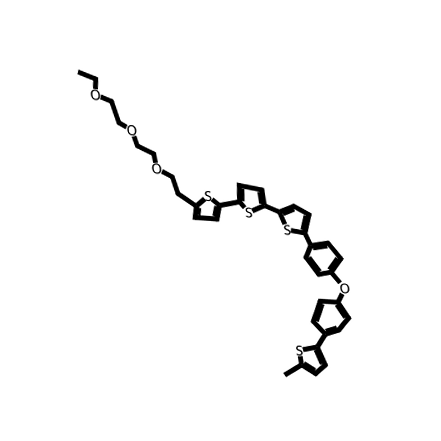 CCOCCOCCOCCc1ccc(-c2ccc(-c3ccc(-c4ccc(Oc5ccc(-c6ccc(C)s6)cc5)cc4)s3)s2)s1